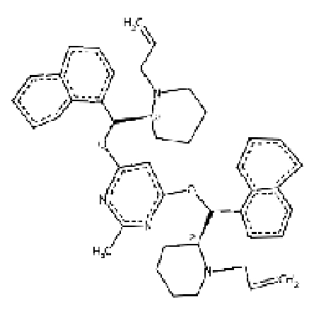 C=CCN1CCCC[C@H]1C(Oc1cc(OC(c2cccc3ccccc23)[C@@H]2CCCCN2CC=C)nc(C)n1)c1cccc2ccccc12